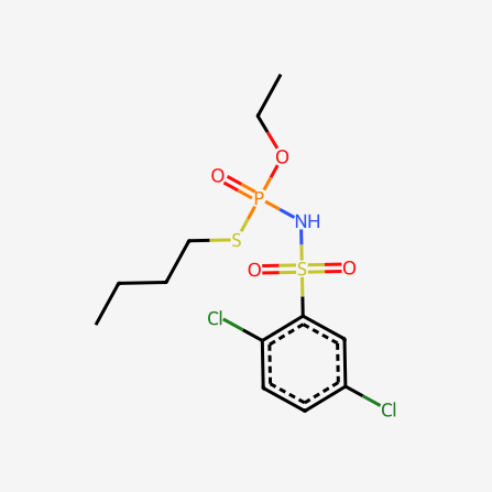 CCCCSP(=O)(NS(=O)(=O)c1cc(Cl)ccc1Cl)OCC